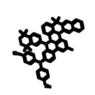 Cc1cc2c3c(c1)N1c4cc5ccccc5cc4C(C)(C)c4cccc(c41)B3N(c1ccc3c(c1)C(C)(C)CCC3(C)C)c1cc(N(c3ccc(C(C)(C)C)cc3)c3ccc(C(C)(C)C)cc3)ccc1-2